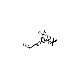 COC(=O)[C@@H]1C[C@H](OCCO)CN1C(=O)OC(C)(C)C